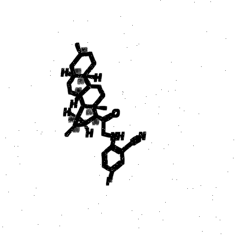 C[C@H]1CC[C@@H]2C3CC[C@@]4(C)C([C@@H]3CC[C@@H]2C1)[C@@H]1[C@H](C)[C@@H]1[C@@H]4C(=O)CNc1ccc(F)cc1C#N